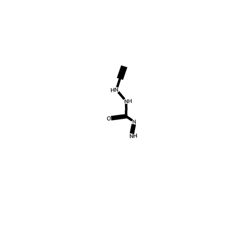 C#CNNC(=O)N=N